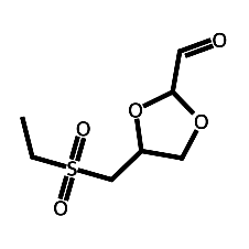 CCS(=O)(=O)CC1COC(C=O)O1